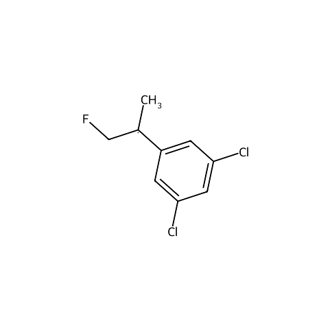 C[C](CF)c1cc(Cl)cc(Cl)c1